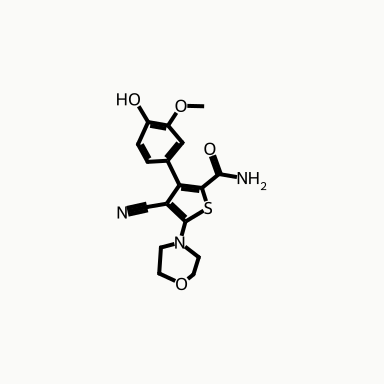 COc1cc(-c2c(C(N)=O)sc(N3CCOCC3)c2C#N)ccc1O